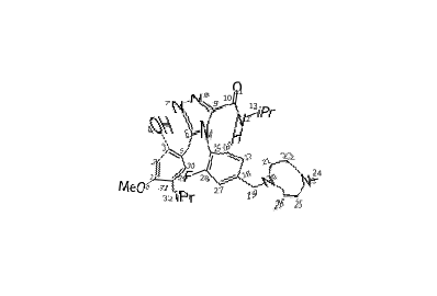 COc1cc(O)c(-c2nnc(C(=O)NC(C)C)n2-c2ccc(CN3CCN(C)CC3)cc2F)cc1C(C)C